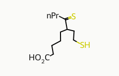 CCCC(=S)C(CCS)CCCCC(=O)O